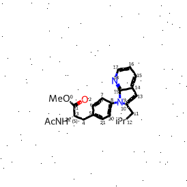 COC(=O)[C@H](Cc1ccc(-n2c(CC(C)C)cc3cccnc32)cc1)NC(C)=O